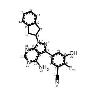 N#Cc1cc(-c2nn(C3Cc4ccccc4C3)c3ncnc(N)c23)cc(O)c1F